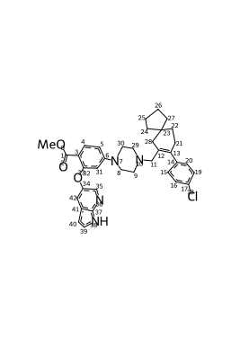 COC(=O)c1ccc(N2CCN(CC3=C(c4ccc(Cl)cc4)CCC4(CCCC4)C3)CC2)cc1Oc1cnc2[nH]ccc2c1